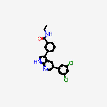 CCNC(=O)c1cccc(-c2c[nH]c3ncc(-c4cc(Cl)cc(Cl)c4)cc23)c1